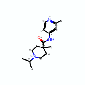 Cc1cc(NC(=O)C2(C)CCN(C(C)C)CC2)ccn1